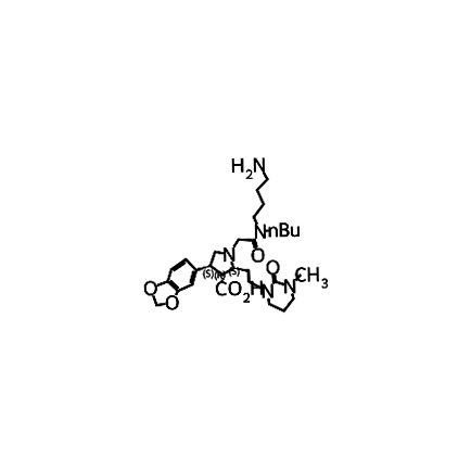 CCCCN(CCCCN)C(=O)CN1C[C@H](c2ccc3c(c2)OCO3)[C@@H](C(=O)O)[C@@H]1CCN1CCCN(C)C1=O